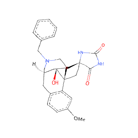 COc1ccc2c(c1)[C@]13CCN(Cc4ccccc4)[C@H](C2)[C@]1(O)CC[C@@]1(C3)NC(=O)NC1=O